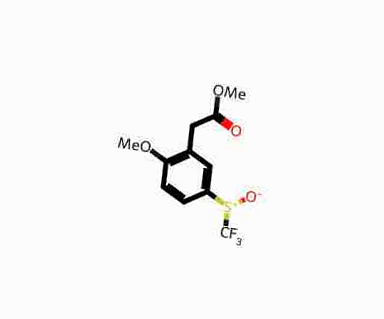 COC(=O)Cc1cc([S+]([O-])C(F)(F)F)ccc1OC